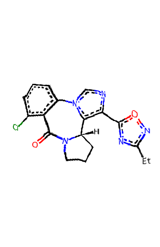 CCc1noc(-c2ncn3c2[C@@H]2CCCN2C(=O)c2c(Cl)cccc2-3)n1